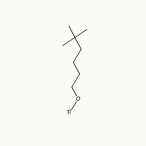 CC(C)(C)CCCC[O][Ti]